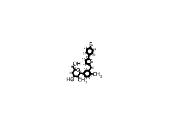 Cc1ccc(C2OC(CO)CC(O)C2C)cc1Cc1ccc(-c2ccc(F)cc2)s1